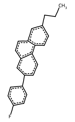 CCCc1ccc2c(ccc3cc(-c4ccc(F)cc4)ccc32)c1